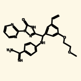 C=Cc1cc(OCCOC)cc(C(Nc2ccc(C(=N)N)cc2)c2nn(-c3ncccn3)c(=O)[nH]2)c1